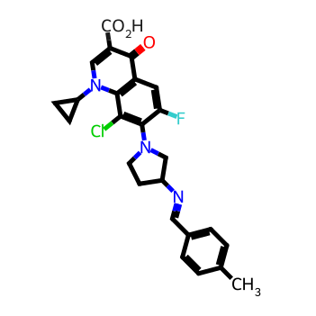 Cc1ccc(/C=N/C2CCN(c3c(F)cc4c(=O)c(C(=O)O)cn(C5CC5)c4c3Cl)C2)cc1